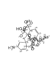 NC1=CC(CC2(S(=O)(=O)O)C=C(N)C=CC2S(=O)(=O)O)(S(=O)(=O)[O-])C(S(=O)(=O)[O-])C=C1.[Na+].[Na+]